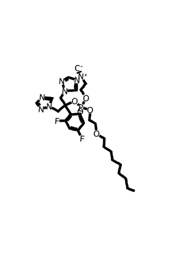 [C-]#[N+]CCOP(=O)(OCCOCCCCCCCCC)OC(Cn1cncn1)(Cn1cncn1)c1ccc(F)cc1F